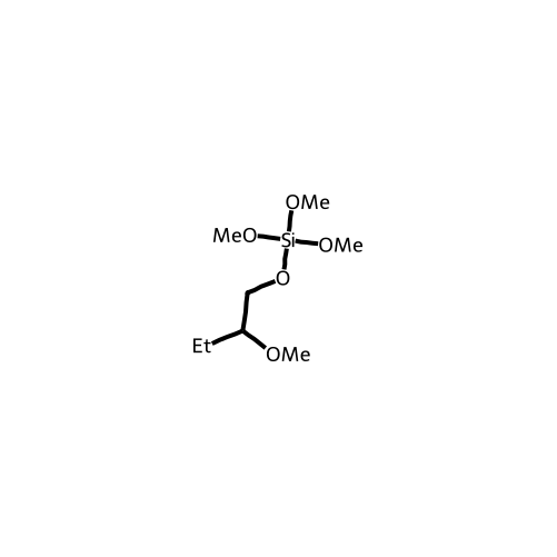 CCC(CO[Si](OC)(OC)OC)OC